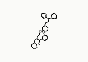 C=CCN(CC1CCCCC1)C(=O)c1cccc(N2CCN(CCC(c3ccccc3)c3ccccc3)CC2)c1